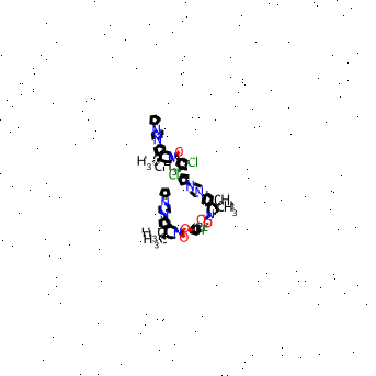 CC(C)OC(=O)N1CCC(C)(C)c2ccc(N3CCN(C4CCCC4)CC3)cc2C1.CC1(C)CCN(C(=O)Oc2ccc(F)cc2)Cc2cc(N3CCN(C4CCCC4)CC3)ccc21.CC1(C)CCN(C(=O)c2cc(Cl)cc(Cl)c2)Cc2cc(N3CCN(C4CCCC4)CC3)ccc21